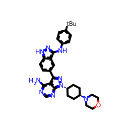 CC(C)(C)c1ccc(Nc2n[nH]c3ccc(-c4nn([C@H]5CC[C@H](N6CCOCC6)CC5)c5ncnc(N)c45)cc23)cc1